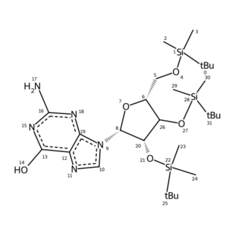 CC(C)(C)[Si](C)(C)OC[C@H]1O[C@@H](n2cnc3c(O)nc(N)nc32)[C@@H](O[Si](C)(C)C(C)(C)C)C1O[Si](C)(C)C(C)(C)C